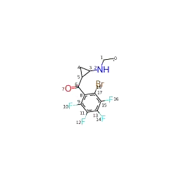 [CH2]CNC1CC1C(=O)c1c(F)c(F)c(F)c(F)c1Br